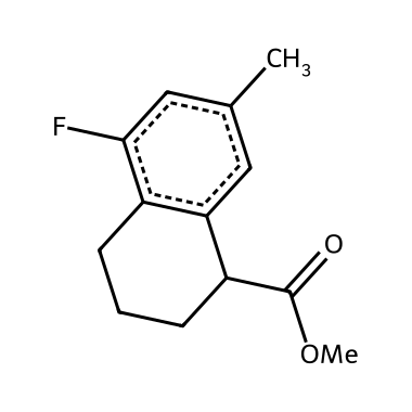 COC(=O)C1CCCc2c(F)cc(C)cc21